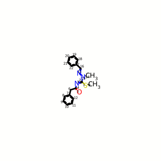 CSC(=NC(=O)Cc1ccccc1)N(C)N=Cc1ccccc1